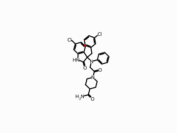 NC(=O)C1CCN(C(=O)CN(c2ccccc2)C2(Cc3cccc(Cl)c3)C(=O)Nc3cc(Cl)ccc32)CC1